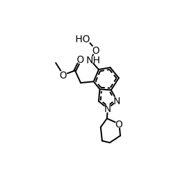 COC(=O)Cc1c(NOO)ccc2nn(C3CCCCO3)cc12